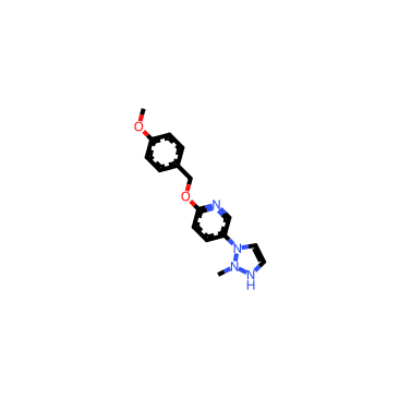 COc1ccc(COc2ccc(N3C=CNN3C)cn2)cc1